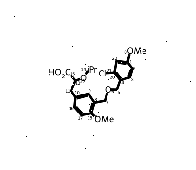 COc1ccc(COCc2cc(CC(OC(C)C)C(=O)O)ccc2OC)c(Cl)c1